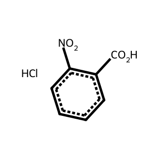 Cl.O=C(O)c1ccccc1[N+](=O)[O-]